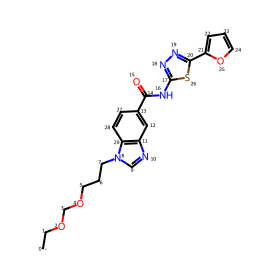 [CH2]COCOCCCn1cnc2cc(C(=O)Nc3nnc(-c4ccco4)s3)ccc21